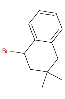 CC1(C)Cc2ccccc2C(Br)C1